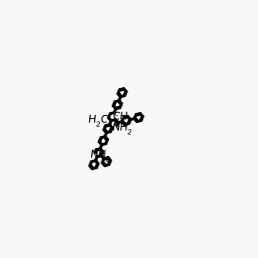 C=C(C[C@@H](C)c1ccc(-c2ccccc2)cc1)C(/C=C(\N)C1=CC=C(c2ccccc2)CC1)c1ccc(C2=CCC(C(=C/N)/C=C(\CC3C=CC=CC3)c3ccccc3)C=C2)cc1